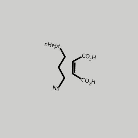 CCCCCCCCC[CH2][Na].O=C(O)/C=C\C(=O)O